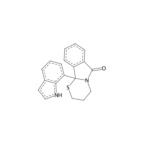 O=C1c2ccccc2C2(c3cccc4cc[nH]c34)SCCCN12